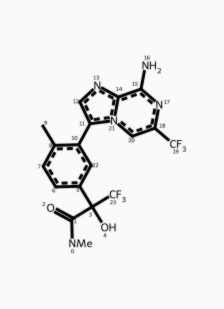 CNC(=O)C(O)(c1ccc(C)c(-c2cnc3c(N)nc(C(F)(F)F)cn23)c1)C(F)(F)F